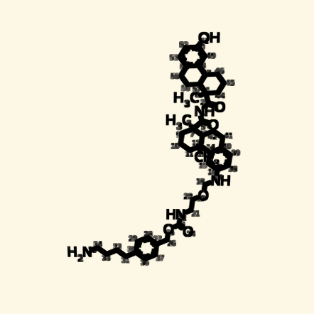 CC1(C(=O)NC(=O)[C@@]2(C)CCCC3(C)c4cc(NCOCCNC(=O)OCc5ccc(CCCCN)cc5)ccc4CCC32)CCCC2c3cc(O)ccc3CCC21